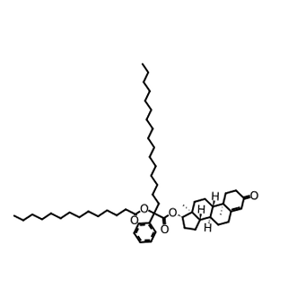 CCCCCCCCCCCCCCCCC(OC(=O)CCCCCCCCCCCCC)(C(=O)O[C@H]1CC[C@H]2[C@@H]3CCC4=CC(=O)CC[C@]4(C)[C@H]3CC[C@]12C)c1ccccc1